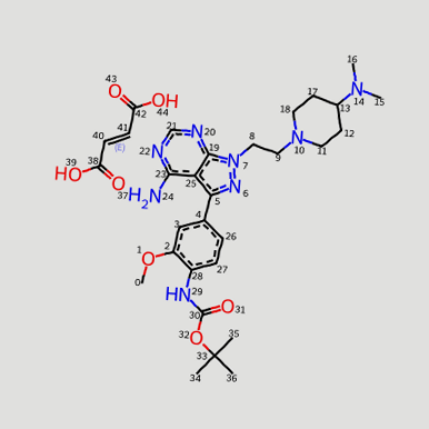 COc1cc(-c2nn(CCN3CCC(N(C)C)CC3)c3ncnc(N)c23)ccc1NC(=O)OC(C)(C)C.O=C(O)/C=C/C(=O)O